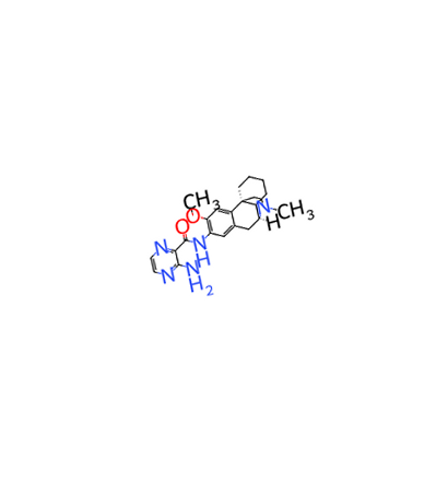 COc1cc2c(cc1NC(=O)c1nccnc1N)C[C@H]1C3CCCC[C@@]23CCN1C